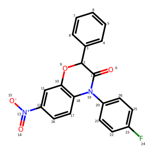 O=C1C(c2ccccc2)Oc2cc([N+](=O)[O-])ccc2N1c1ccc(F)cc1